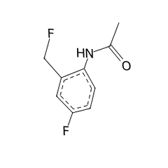 CC(=O)Nc1ccc(F)cc1CF